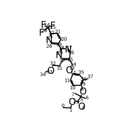 CCOC(=O)C(C)(C)Oc1ccc(OCc2cnc(-c3ccc(C(F)(F)F)nc3)nc2CCOC)cc1C